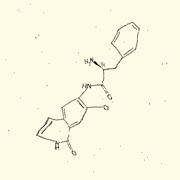 N[C@@H](Cc1ccccc1)C(=O)Nc1cc2cc[nH]c(=O)c2cc1Cl